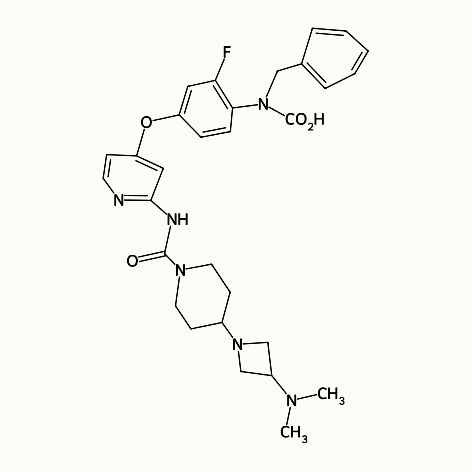 CN(C)C1CN(C2CCN(C(=O)Nc3cc(Oc4ccc(N(Cc5ccccc5)C(=O)O)c(F)c4)ccn3)CC2)C1